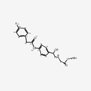 CC(C)(C)OC(=O)CNCC(O)c1ccc(OC(=O)Cc2ccc(F)cc2)cc1